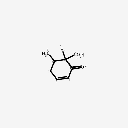 CCC1(C(=O)O)C(=O)C=CCC1C